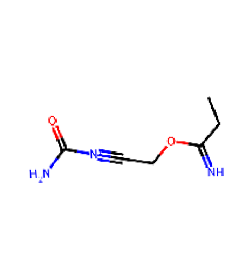 CCC(=N)OCC#[N+]C(N)=O